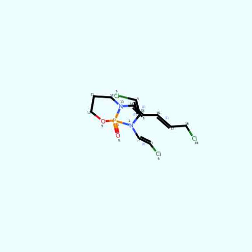 O=P1(N(/C=C\Cl)/C=C/Cl)OCCCN1/C=C/C=C/CCl